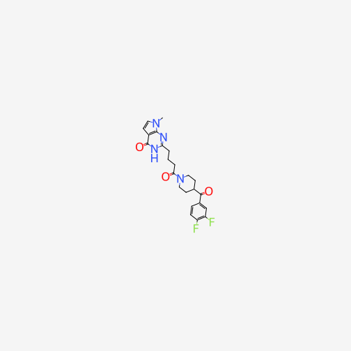 Cn1ccc2c(=O)[nH]c(CCCC(=O)N3CCC(C(=O)c4ccc(F)c(F)c4)CC3)nc21